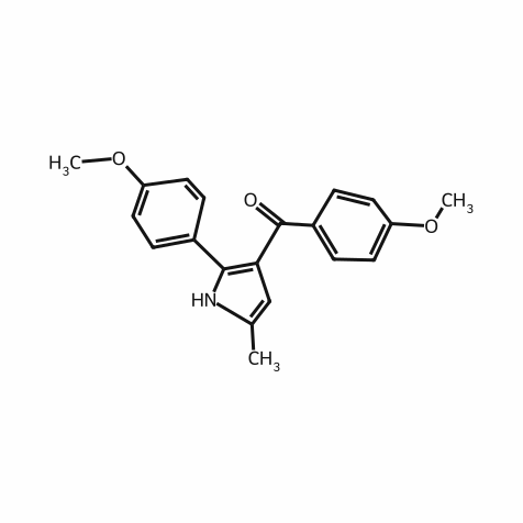 COc1ccc(C(=O)c2cc(C)[nH]c2-c2ccc(OC)cc2)cc1